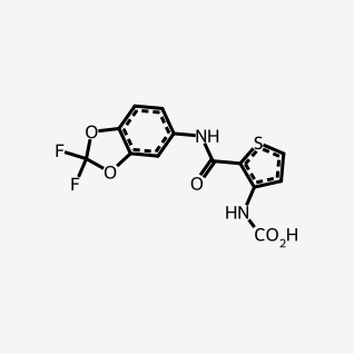 O=C(O)Nc1ccsc1C(=O)Nc1ccc2c(c1)OC(F)(F)O2